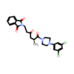 C[C@@H](CC(=O)CCN1C(=O)c2ccccc2C1=O)C(=O)N1CCN(c2cc(Cl)cc(Cl)c2)CC1